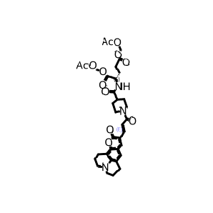 CC(=O)OCOC(=O)CC[C@H](NC(=O)C1CCN(C(=O)/C=C/c2cc3cc4c5c(c3oc2=O)CCCN5CCC4)CC1)C(=O)OCOC(C)=O